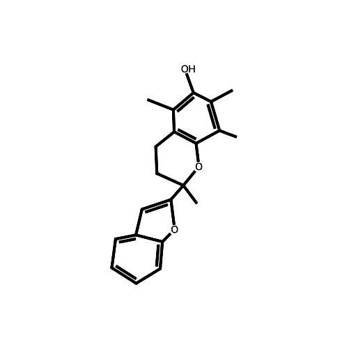 Cc1c(C)c2c(c(C)c1O)CCC(C)(c1cc3ccccc3o1)O2